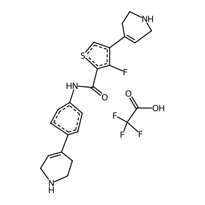 O=C(Nc1ccc(C2=CCNCC2)cc1)c1scc(C2=CCNCC2)c1F.O=C(O)C(F)(F)F